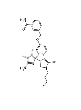 CC(=O)c1cc(C2(c3cccc(OCc4cccc(C(N)=O)c4)c3)N=C(N)N(C)C2=O)cn1CCCF